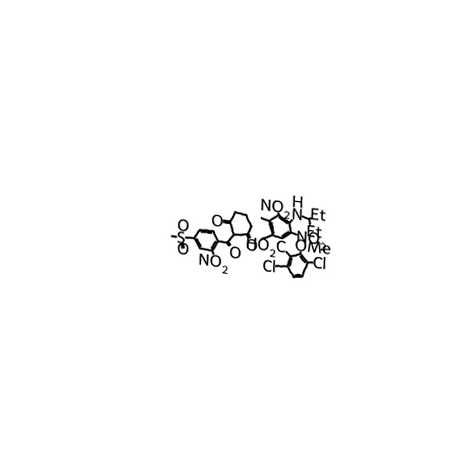 CCC(CC)Nc1c([N+](=O)[O-])cc(C)c(C)c1[N+](=O)[O-].COc1c(Cl)ccc(Cl)c1C(=O)O.CS(=O)(=O)c1ccc(C(=O)C2C(=O)CCCC2=O)c([N+](=O)[O-])c1